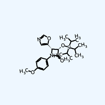 COc1ccc(N2C(=O)[C@@H](O[Si](C(C)C)(C(C)C)C(C)C)[C@H]2c2cnco2)cc1